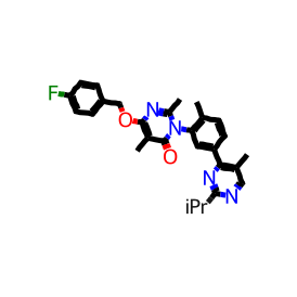 Cc1ccc(-c2nc(C(C)C)ncc2C)cc1-n1c(C)nc(OCc2ccc(F)cc2)c(C)c1=O